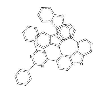 c1ccc(-c2nc(-c3ccccc3)nc(-c3ccc4oc5cccc(-c6ccc7c(c6)oc6ccccc67)c5c4c3-n3c4ccccc4c4ccccc43)n2)cc1